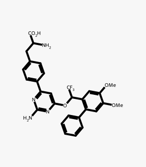 COc1cc(-c2ccccc2)c(C(Oc2cc(-c3ccc(CC(N)C(=O)O)cc3)nc(N)n2)C(F)(F)F)cc1OC